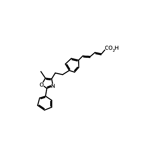 Cc1oc(-c2ccccc2)nc1CCc1ccc(C=CC=CC(=O)O)cc1